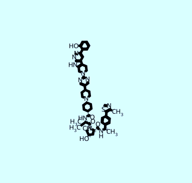 Cc1ncsc1-c1ccc([C@H](C)NC(=O)[C@@H]2C[C@@H](O)CN2C(=O)[C@@H](NC(=O)[C@H]2CC[C@@H](N3CCC(c4cnc(N5CCc6c([nH]c7nnc(-c8ccccc8O)cc67)C5)nc4)CC3)CC2)C(C)(C)C)cc1